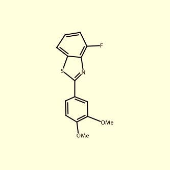 COc1ccc(-c2nc3c(F)cccc3s2)cc1OC